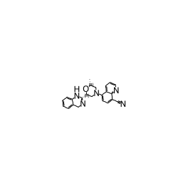 C[C@@H]1CN(c2ccc(C#N)c3ncccc23)C[C@H](C2=NCc3ccccc3N2)O1